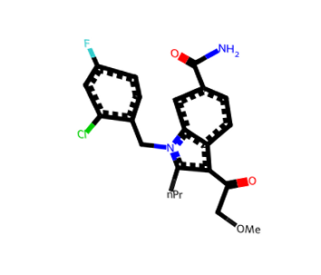 CCCc1c(C(=O)COC)c2ccc(C(N)=O)cc2n1Cc1ccc(F)cc1Cl